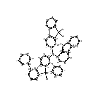 CC1(C)c2ccccc2-c2ccc(N(c3ccc4c(c3)C(C)(c3ccccc3)c3cccc(-c5ccccc5)c3-4)c3cccc4c3sc3ccccc34)cc21